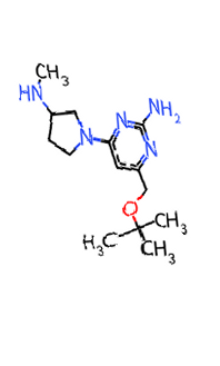 CNC1CCN(c2cc(COC(C)(C)C)nc(N)n2)C1